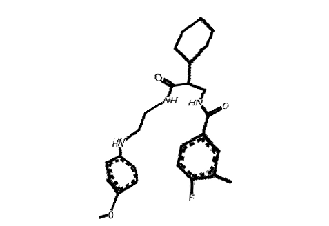 COc1ccc(NCCNC(=O)C(CNC(=O)c2ccc(F)c(C)c2)C2CCCCC2)cc1